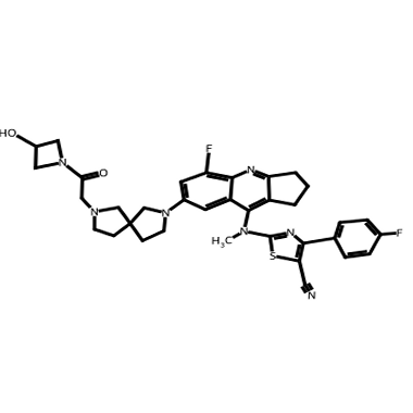 CN(c1nc(-c2ccc(F)cc2)c(C#N)s1)c1c2c(nc3c(F)cc(N4CCC5(CCN(CC(=O)N6CC(O)C6)C5)C4)cc13)CCC2